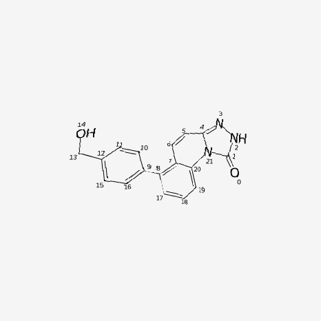 O=c1[nH]nc2ccc3c(-c4ccc(CO)cc4)cccc3n12